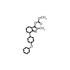 COC(=O)Oc1c2cccc(-c3ccc(Oc4ccccc4)cc3)c2nn1C